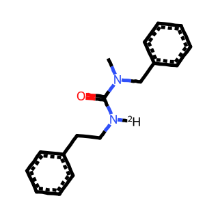 [2H]N(CCc1ccccc1)C(=O)N(C)Cc1ccccc1